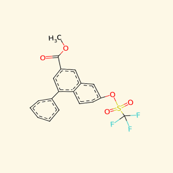 COC(=O)c1cc(-c2ccccc2)c2ccc(OS(=O)(=O)C(F)(F)F)cc2c1